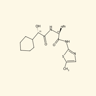 CCC[C@H](NC(=O)[C@@H](O)C1CCCCC1)C(=O)Nc1ncc(C)s1